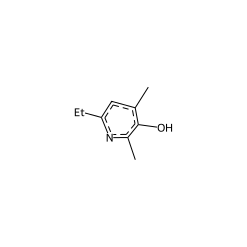 CCc1cc(C)c(O)c(C)n1